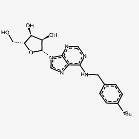 CC(C)(C)c1ccc(CNc2ncnc3c2ncn3[C@@H]2O[C@H](CO)[C@@H](O)[C@H]2O)cc1